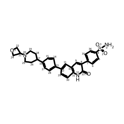 NS(=O)(=O)c1ccc(-c2cc3cc(-c4ccc(C5CCN(C6COC6)CC5)cc4)ccc3[nH]c2=O)cc1